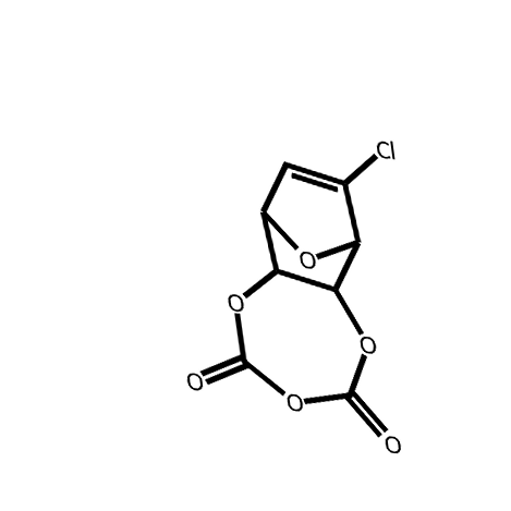 O=C1OC(=O)OC2C3OC(C=C3Cl)C2O1